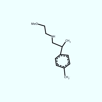 [CH2]c1ccc(C(C)CNCCOC)cc1